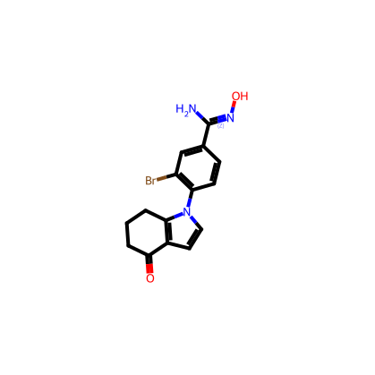 N/C(=N\O)c1ccc(-n2ccc3c2CCCC3=O)c(Br)c1